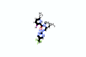 CC[C@@H](CNc1ncc(C(F)(F)F)cn1)N(C)C(=O)c1nc(C)ccc1I